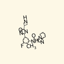 Cc1c(F)cc(-c2noc(C3CNC3)n2)cc1NC(=O)c1cnc2ccccn12